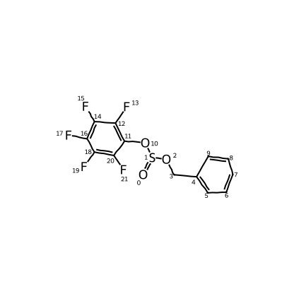 O=S(OCc1ccccc1)Oc1c(F)c(F)c(F)c(F)c1F